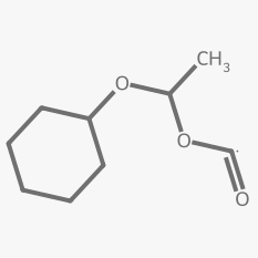 CC(O[C]=O)OC1CCCCC1